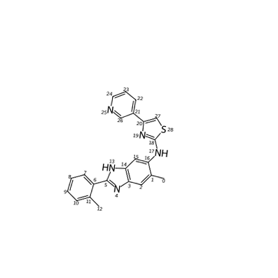 Cc1cc2nc(-c3ccccc3C)[nH]c2cc1Nc1nc(-c2cccnc2)cs1